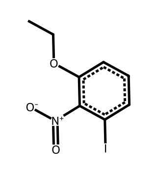 CCOc1cccc(I)c1[N+](=O)[O-]